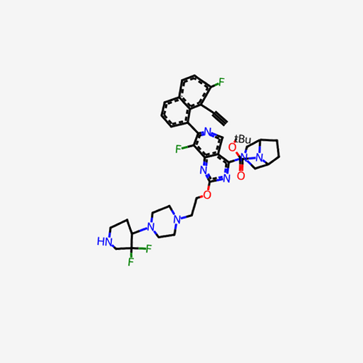 C#Cc1c(F)ccc2cccc(-c3ncc4c(N5CC6CCC(C5)N6C(=O)OC(C)(C)C)nc(OCCN5CCN(C6CCNCC6(F)F)CC5)nc4c3F)c12